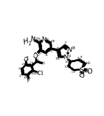 CC(Oc1cc(-c2cnn(C3CCS(=O)(=O)CC3)c2)cnc1N)c1c(Cl)ccc(F)c1Cl